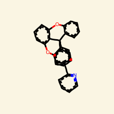 c1ccc(C23c4ccccc4Oc4cccc(c42)Oc2cc(-c4ccccn4)ccc23)cc1